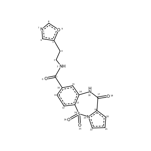 O=C(NCCc1cnco1)c1ccc2c(c1)NC(=O)c1cccn1S2(=O)=O